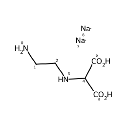 NCCNC(C(=O)O)C(=O)O.[Na].[Na]